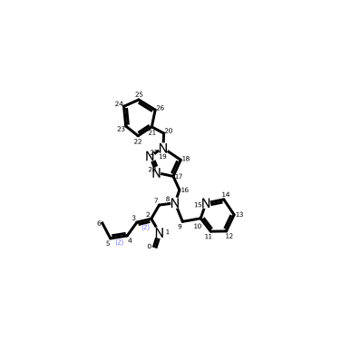 C=N/C(=C\C=C/C)CN(Cc1ccccn1)Cc1cn(Cc2ccccc2)nn1